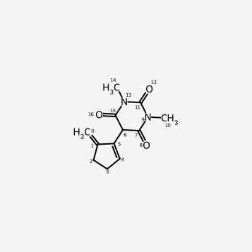 C=C1CCC=C1C1C(=O)N(C)C(=O)N(C)C1=O